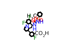 Cc1ccccc1S(=O)(=O)NC(=O)NC(Cc1ncccc1-c1ccc(F)c(C(=O)O)c1)c1cc(F)cc(F)c1